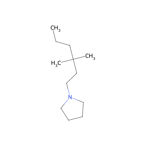 CCCC(C)(C)CCN1CCCC1